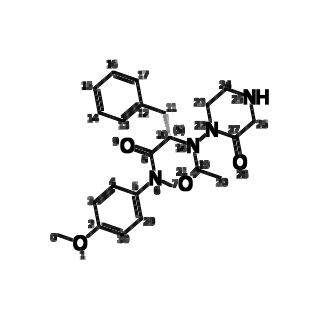 COc1ccc(N(C)C(=O)[C@H](Cc2ccccc2)N(C(C)=O)N2CCNCC2=O)cc1